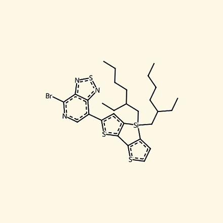 CCCCC(CC)C[Si]1(CC(CC)CCCC)c2ccsc2-c2sc(-c3cnc(Br)c4nsnc34)cc21